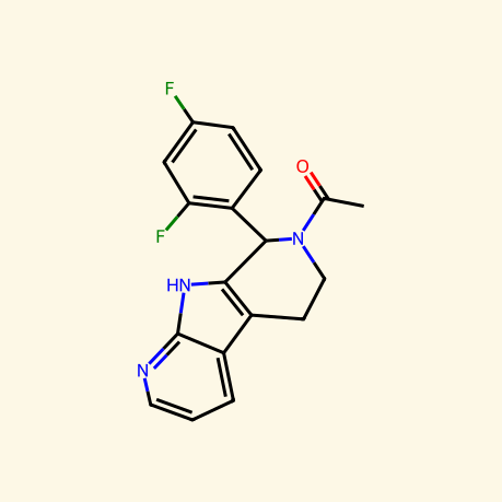 CC(=O)N1CCc2c([nH]c3ncccc23)C1c1ccc(F)cc1F